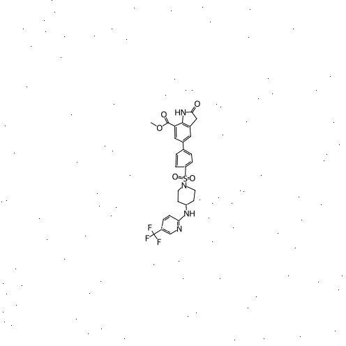 COC(=O)c1cc(-c2ccc(S(=O)(=O)N3CCC(Nc4ccc(C(F)(F)F)cn4)CC3)cc2)cc2c1NC(=O)C2